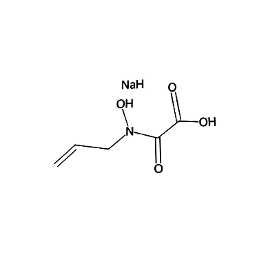 C=CCN(O)C(=O)C(=O)O.[NaH]